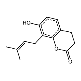 CC(C)=CCc1c(O)ccc2c1OC(=O)CC2